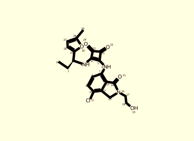 CC[C@H](Nc1c(Nc2ccc(Cl)c3c2C(=O)N(CCO)C3)c(=O)c1=O)c1ccc(C)o1